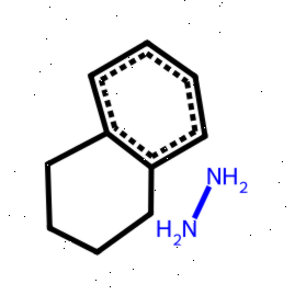 NN.c1ccc2c(c1)CCCC2